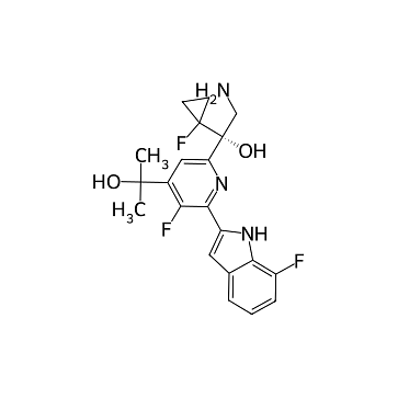 CC(C)(O)c1cc([C@](O)(CN)C2(F)CC2)nc(-c2cc3cccc(F)c3[nH]2)c1F